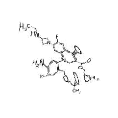 CCNC1CN(c2cc3c(cc2F)c(=O)c(C(=O)OCC)cn3-c2cc(N)c(F)cc2COC(C)=O)C1